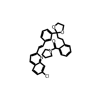 O=C(c1ccccc1CCC1(c2cccc(C=Cc3ccc4ccc(Cl)cc4n3)c2)OCCO1)N1CCCC1